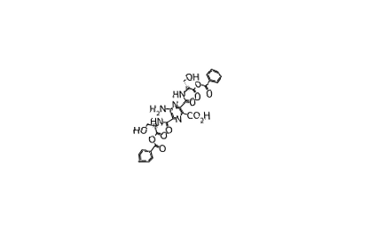 Nc1nc(C(=O)N[C@H](CO)C(=O)OC(=O)c2ccccc2)c(C(=O)O)nc1C(=O)N[C@H](CO)C(=O)OC(=O)c1ccccc1